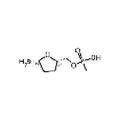 B[C@H]1CC[C@@H](COP(C)(=O)O)O1